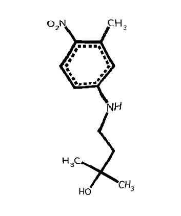 Cc1cc(NCCC(C)(C)O)ccc1[N+](=O)[O-]